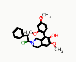 COc1ccc(-c2c(O)c(OC)cc3c2CN(C(Cl)Cc2ccccc2)CC3)c(OC)c1